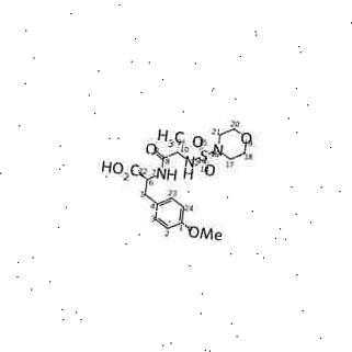 COc1ccc(C[C@H](NC(=O)[C@H](C)NS(=O)(=O)N2CCOCC2)C(=O)O)cc1